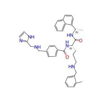 Cc1ccccc1CNCCC[C@H](NC(=O)c1ccc(CNCc2ncc[nH]2)cc1)C(=O)N[C@@H](C)c1cccc2ccccc12